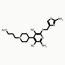 CC(=O)OCCCN1CCC(c2c(C#N)c(N)nc(SCc3csc(N)n3)c2C#N)CC1